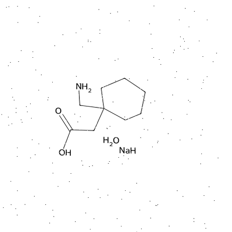 NCC1(CC(=O)O)CCCCC1.O.[NaH]